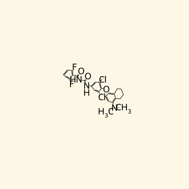 CN(C)c1ccc(Oc2c(Cl)cc(NC(=O)NC(=O)c3c(F)cccc3F)cc2Cl)c2c1CCCC2